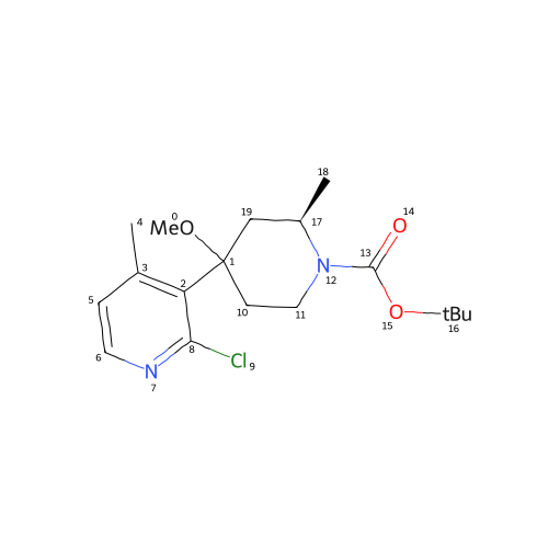 COC1(c2c(C)ccnc2Cl)CCN(C(=O)OC(C)(C)C)[C@H](C)C1